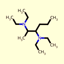 CCCC(C(C)N(CC)CC)N(CC)CC